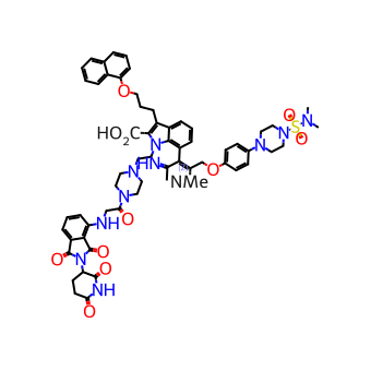 CN/C(COc1ccc(N2CCN(S(=O)(=O)N(C)C)CC2)cc1)=C(\C(C)=N)c1cccc2c(CCCOc3cccc4ccccc34)c(C(=O)O)n(CCN3CCN(C(=O)CNc4cccc5c4C(=O)N(C4CCC(=O)NC4=O)C5=O)CC3)c12